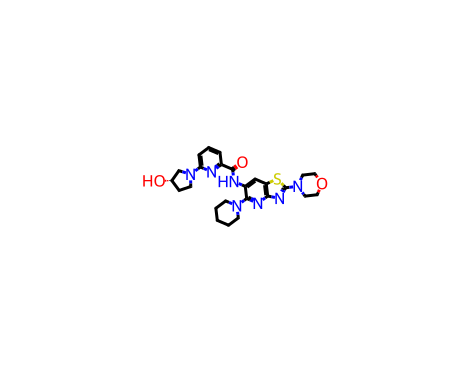 O=C(Nc1cc2sc(N3CCOCC3)nc2nc1N1CCCCC1)c1cccc(N2CC[C@H](O)C2)n1